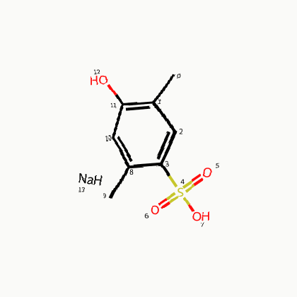 Cc1cc(S(=O)(=O)O)c(C)cc1O.[NaH]